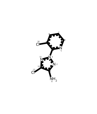 Nc1nn(-c2ncccc2Cl)nc1Cl